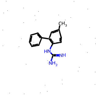 Cc1ccc(NC(=N)N)c(-c2ccccc2)c1